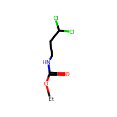 CCOC(=O)NCCC(Cl)Cl